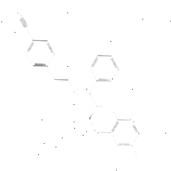 N#Cc1ccc(CCN[C@H](c2ccccc2)[C@@H]2CNc3cc(Br)cnc3O2)cc1